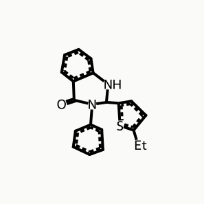 CCc1ccc(C2Nc3ccccc3C(=O)N2c2ccccc2)s1